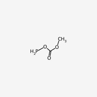 COC(=O)OP